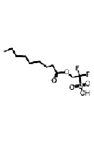 CCCCCCCCC(=O)OCC(F)(F)S(=O)(=O)O